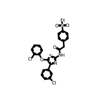 CCS(=O)(=O)c1ccc(CC(=O)Nc2nc(-c3cccc(Cl)c3)c(Oc3ccccc3Cl)s2)cc1